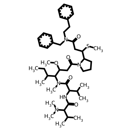 CCC(C)C(C(CC(=O)N1CCCC1C(CC(=O)N(CCc1ccccc1)Cc1ccccc1)SC)OC)N(C)C(=O)C(NC(=O)C(C(C)C)N(C)C)C(C)C